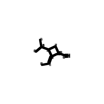 CC=C1C(C(C)C)CN1S